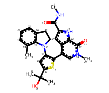 CCNC(=O)c1cc2c(-c3sc(C(C)(C)O)cc3N3CCc4cccc(C)c43)cn(C)c(=O)c2[nH]1